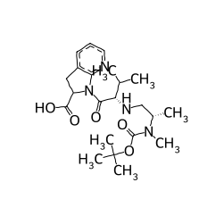 CC(C)[C@H](NC[C@H](C)N(C)C(=O)OC(C)(C)C)C(=O)N1c2ncccc2CC1C(=O)O